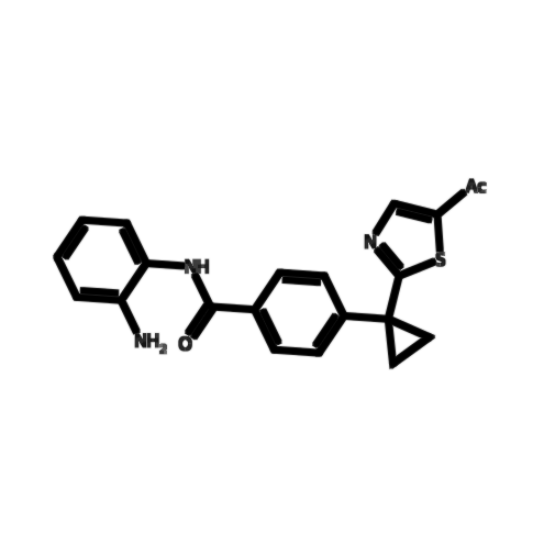 CC(=O)c1cnc(C2(c3ccc(C(=O)Nc4ccccc4N)cc3)CC2)s1